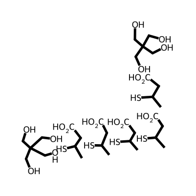 CC(S)CC(=O)O.CC(S)CC(=O)O.CC(S)CC(=O)O.CC(S)CC(=O)O.CC(S)CC(=O)O.OCC(CO)(CO)CO.OCC(CO)(CO)CO